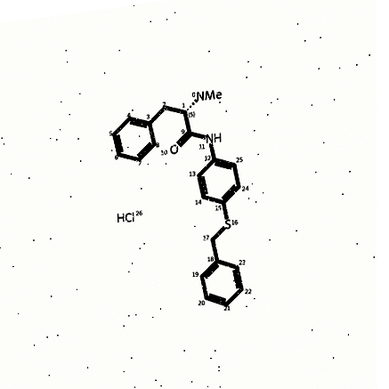 CN[C@@H](Cc1ccccc1)C(=O)Nc1ccc(SCc2ccccc2)cc1.Cl